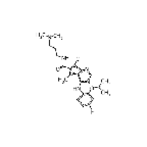 CC(C)Oc1cc(F)ccc1Nc1ncnc2c(Cl)c(C(=O)NCCCN(C)C)n(C)c12